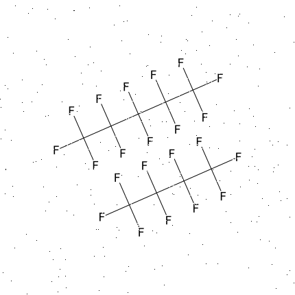 FC(F)(F)C(F)(F)C(F)(F)C(F)(F)C(F)(F)F.FC(F)(F)C(F)(F)C(F)(F)C(F)(F)F